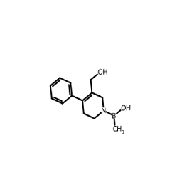 CB(O)N1CCC(c2ccccc2)=C(CO)C1